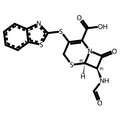 O=CN[C@@H]1C(=O)N2C(C(=O)O)=C(Sc3nc4ccccc4s3)CS[C@H]12